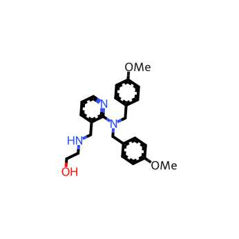 COc1ccc(CN(Cc2ccc(OC)cc2)c2ncccc2CNCCO)cc1